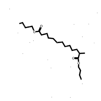 CCCCOC(=O)CCCCCCCCCCC(C)C(=O)OCCCC